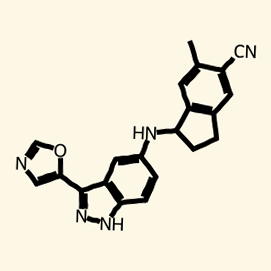 Cc1cc2c(cc1C#N)CCC2Nc1ccc2[nH]nc(-c3cnco3)c2c1